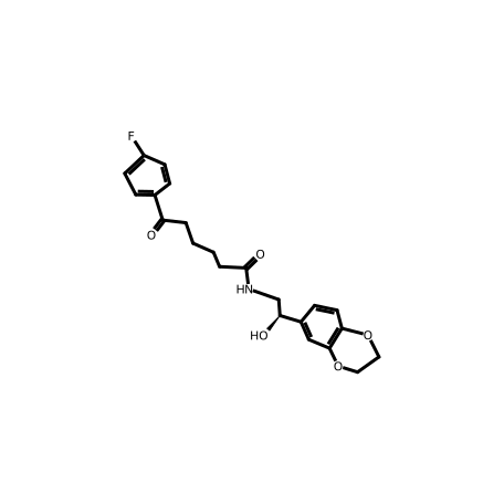 O=C(CCCCC(=O)c1ccc(F)cc1)NC[C@H](O)c1ccc2c(c1)OCCO2